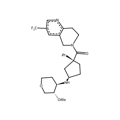 CO[C@@H]1COCC[C@H]1N[C@@H]1CC[C@](C(=O)N2CCc3ncc(C(F)(F)F)cc3C2)(C(C)C)C1